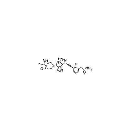 C[C@@H]1OCC2(CCN(c3nc4[nH]nc(C#Cc5cccc(CC(N)=O)c5F)c4c4nccn34)CC2)[C@@H]1N